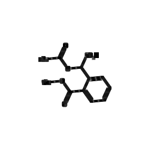 CCCCC(=O)OC(c1ccccc1C(=O)OC(C)(C)C)S(=O)(=O)O